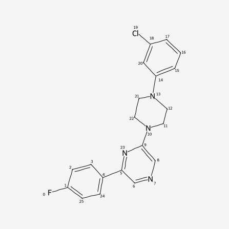 Fc1ccc(-c2cncc(N3CCN(c4cccc(Cl)c4)CC3)n2)cc1